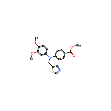 CCOc1ccc(N(Cc2cncs2)c2ccc(C(=O)OC(C)(C)C)cc2)cc1OCC